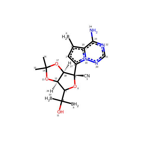 Bc1cc([C@]2(C#N)OC(C(B)(B)O)[C@H]3OC(C)(C)O[C@H]32)n2ncnc(N)c12